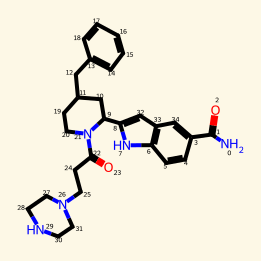 NC(=O)c1ccc2[nH]c(C3CC(Cc4ccccc4)CCN3C(=O)CCN3CCNCC3)cc2c1